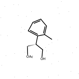 CC(=O)OC[C@@H](CO)c1ccccc1C